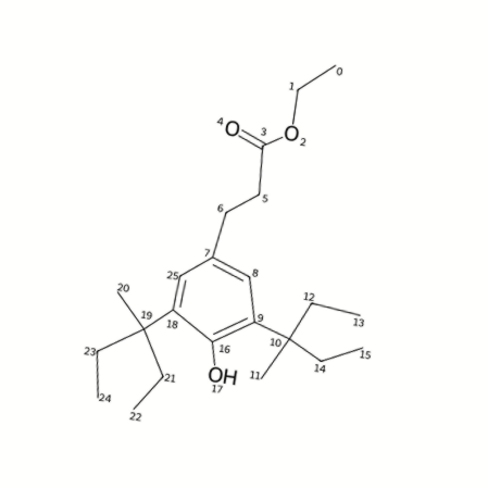 CCOC(=O)CCc1cc(C(C)(CC)CC)c(O)c(C(C)(CC)CC)c1